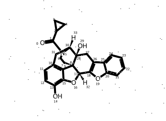 O=C(C1CC1)N1CC[C@]23c4c5ccc(O)c4O[C@H]2c2oc4ccccc4c2C[C@@]3(O)[C@H]1C5